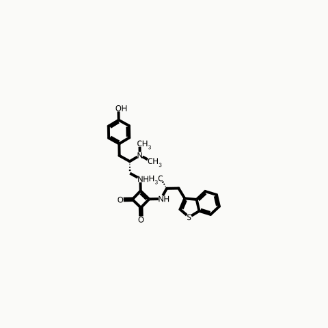 C[C@H](Cc1csc2ccccc12)Nc1c(NC[C@H](Cc2ccc(O)cc2)N(C)C)c(=O)c1=O